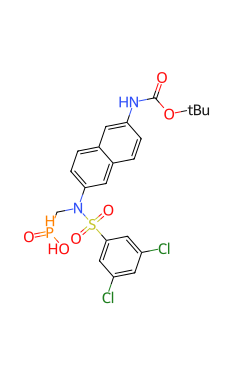 CC(C)(C)OC(=O)Nc1ccc2cc(N(C[PH](=O)O)S(=O)(=O)c3cc(Cl)cc(Cl)c3)ccc2c1